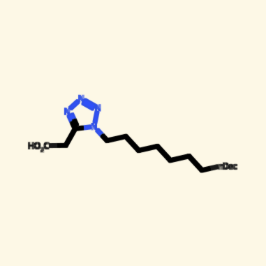 CCCCCCCCCCCCCCCCCn1nnnc1CC(=O)O